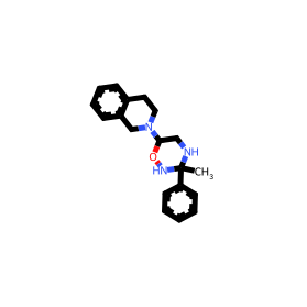 CC1(c2ccccc2)NCC(N2CCc3ccccc3C2)ON1